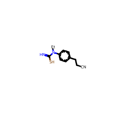 CCN(C(=N)S)c1ccc(CCC#N)cc1